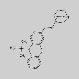 CC(C)(C)N1c2ccccc2Sc2cc(COC3CN4CCC3CC4)ccc21